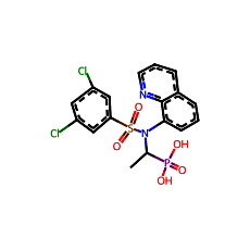 CC(N(c1cccc2cccnc12)S(=O)(=O)c1cc(Cl)cc(Cl)c1)P(=O)(O)O